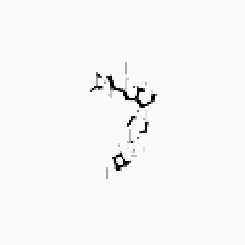 Cc1nc(-c2cc3c(N4CCN(C(=O)O[C@H]5CC(F)(F)C5(F)F)CC4)ccnc3[nH]2)cn1C